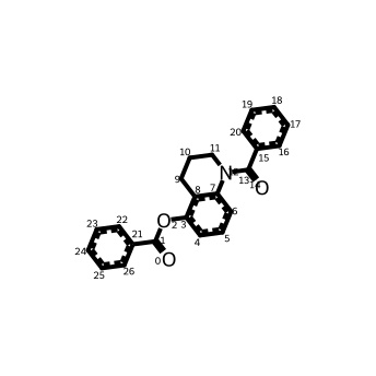 O=C(Oc1cccc2c1CCCN2C(=O)c1ccccc1)c1ccccc1